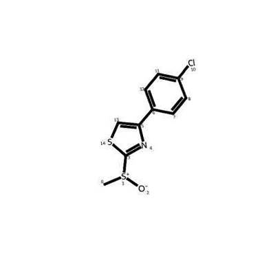 C[S+]([O-])c1nc(-c2ccc(Cl)cc2)cs1